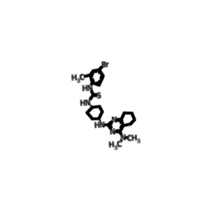 Cc1cc(Br)ccc1NC(=S)N[C@H]1CC[C@@H](Nc2nc3c(c(N(C)C)n2)CCCC3)CC1